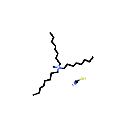 CCCCCCCC[N+](C)(CCCCCCCC)CCCCCCCC.N#CS